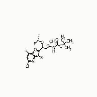 C[C@@H](CC(OC(F)F)c1oc2c(I)cc(Cl)nc2c1Br)NC(=O)OC(C)(C)C